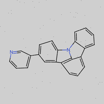 c1cncc(-c2ccc3c(c2)c2cccc4c5ccccc5n3c42)c1